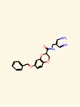 N=C/C(=C\N)CNC(=O)C1COc2ccc(OCc3ccccc3)cc2O1